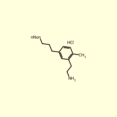 CCCCCCCCCCCCc1ccc(C)c(CCN)c1.Cl